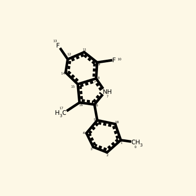 Cc1cccc(-c2[nH]c3c(F)cc(F)cc3c2C)c1